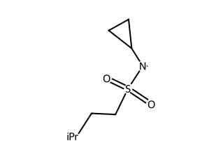 CC(C)CCS(=O)(=O)[N]C1CC1